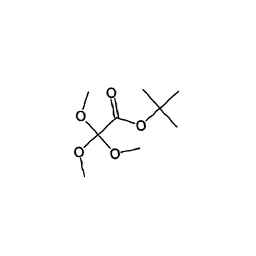 COC(OC)(OC)C(=O)OC(C)(C)C